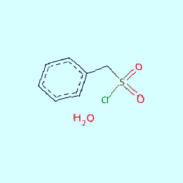 O.O=S(=O)(Cl)Cc1ccccc1